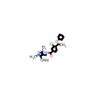 COc1c(CNC(=O)c2ccc(C(C)Oc3ccccc3)c(Cl)c2)c(C)nn1C